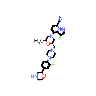 C[C@@H]1CN(c2ccc(C#N)n3ncc(F)c23)C[C@@H](CN2CCN(c3ccc(C4CNCCO4)cc3F)CC2)O1